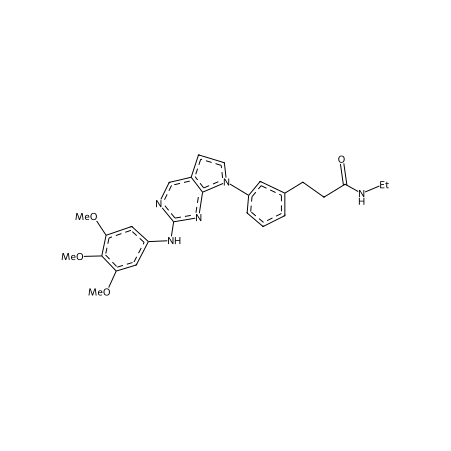 CCNC(=O)CCc1cccc(-n2ccc3cnc(Nc4cc(OC)c(OC)c(OC)c4)nc32)c1